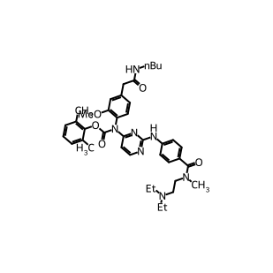 CCCCNC(=O)Cc1ccc(N(C(=O)Oc2c(C)cccc2C)c2ccnc(Nc3ccc(C(=O)N(C)CCN(CC)CC)cc3)n2)c(OC)c1